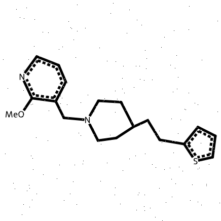 COc1ncccc1CN1CCC(CCc2cccs2)CC1